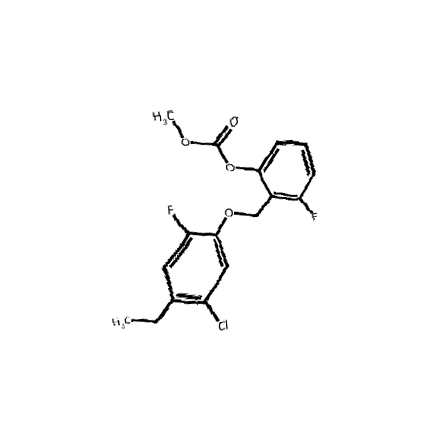 CCc1cc(F)c(OCc2c(F)cccc2OC(=O)OC)cc1Cl